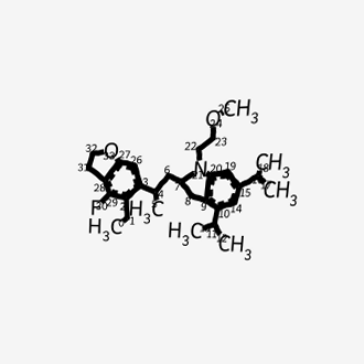 CCc1c(C(C)CC2Cc3c(C(C)C)cc(C(C)C)cc3N2CCOC)cc2c(c1F)CCO2